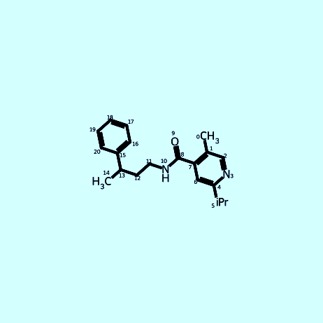 Cc1cnc(C(C)C)cc1C(=O)NCCC(C)c1ccccc1